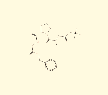 C[C@H](NC(=O)[C@@H]1CCCN1C(=O)[C@H](C)NC(=O)OC(C)(C)C)C(=O)OCc1ccccc1